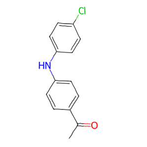 CC(=O)c1ccc(Nc2ccc(Cl)cc2)cc1